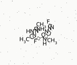 Cc1cc(Nc2cc(C)[nH]n2)nc([C@]2(F)C[C@@H](C(=O)N[C@@H](C)c3ccc(-n4cc(F)cn4)nc3)C2)c1